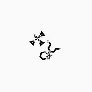 O=P1(N(CCCl)CCCl)NCCCO1.S=P(N1CC1)(N1CC1)N1CC1